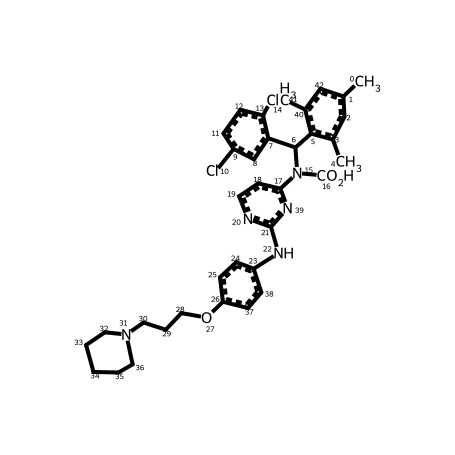 Cc1cc(C)c(C(c2cc(Cl)ccc2Cl)N(C(=O)O)c2ccnc(Nc3ccc(OCCCN4CCCCC4)cc3)n2)c(C)c1